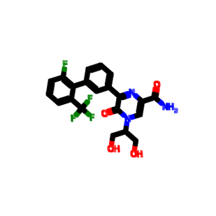 NC(=O)c1cn(C(CO)CO)c(=O)c(-c2cccc(-c3c(F)cccc3C(F)(F)F)c2)n1